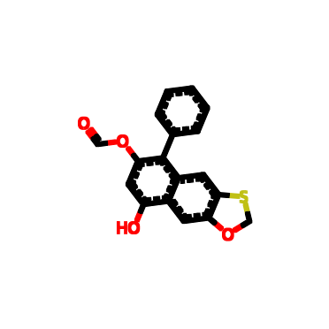 O=COc1cc(O)c2cc3c(cc2c1-c1ccccc1)SCO3